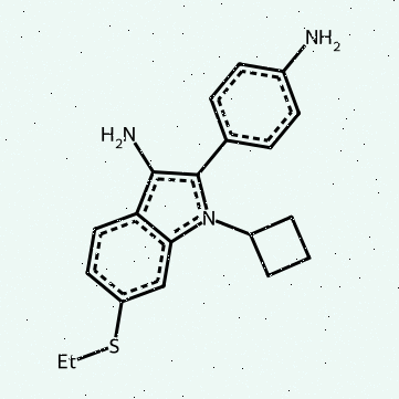 CCSc1ccc2c(N)c(-c3ccc(N)cc3)n(C3CCC3)c2c1